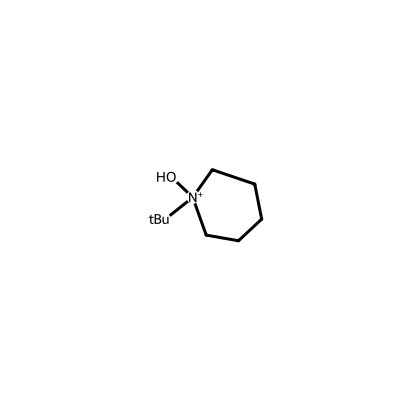 CC(C)(C)[N+]1(O)CCCCC1